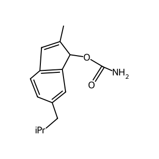 CC1=Cc2ccc(CC(C)C)cc2C1OC(N)=O